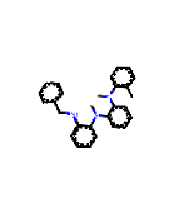 Cc1ccccc1N(C)c1ccccc1N(C)c1ccccc1NCc1ccccc1